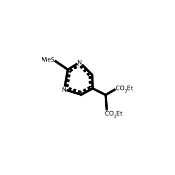 CCOC(=O)C(C(=O)OCC)c1cnc(SC)nc1